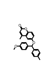 COc1ccc(C(Oc2ccc3oc(=O)cc(C)c3c2)c2ccc(C)cc2)cc1